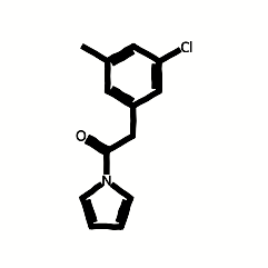 Cc1cc(Cl)cc(CC(=O)n2cccc2)c1